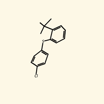 CC(C)(C)c1ccccc1Sc1ccc(Cl)cc1